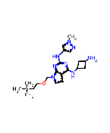 Cn1cc(Nc2nc(NC3CC(N)C3)c3ccn(COCC[Si](C)(C)C)c3n2)cn1